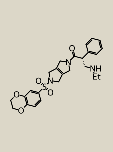 CCNC[C@H](C(=O)N1CC2=C(C1)CN(S(=O)(=O)c1ccc3c(c1)OCCO3)C2)c1ccccc1